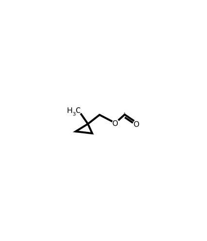 CC1(CO[C]=O)CC1